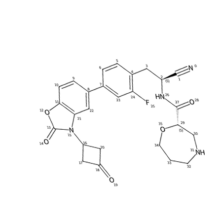 N#C[C@H](Cc1ccc(-c2ccc3oc(=O)n(C4CC(=O)C4)c3c2)cc1F)NC(=O)[C@@H]1CNCCCO1